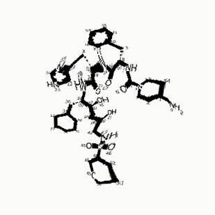 NC1CCN(C(=O)N[C@@H](Cc2ccccc2)C(=O)N[C@@H](Cc2c[nH]cn2)C(=O)N[C@@H](CC2CCCCC2)[C@@H](O)C[C@@H](O)CNS(=O)(=O)C2CCCCC2)CC1